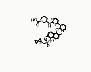 Cc1ccc2c(NS(=O)(=O)C[C@@H]3CC34CC4)c(F)ccc2c1Oc1ncccc1-c1ccnc(NC2CCCN(C(=O)O)C2)n1